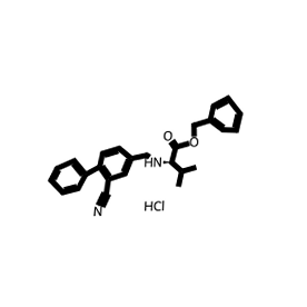 CC(C)[C@H](NCc1ccc(-c2ccccc2)c(C#N)c1)C(=O)OCc1ccccc1.Cl